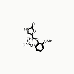 COc1ccccc1OCC1CNC(=O)O1.C[S+](C)[O-]